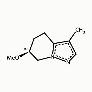 CO[C@H]1CCc2c(C)cnn2C1